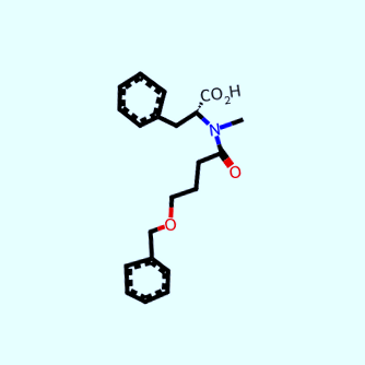 CN(C(=O)CCCOCc1ccccc1)[C@H](Cc1ccccc1)C(=O)O